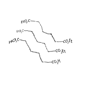 CCOC(=O)CCCCC(=O)OCC.CCOC(=O)CCCCC(=O)OCC.O=C(O)CCCCC(=O)O